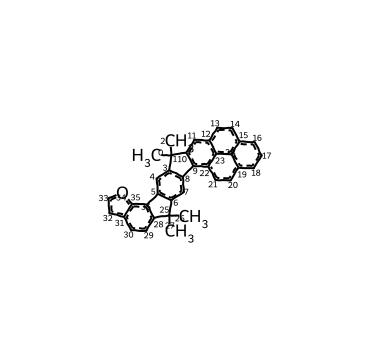 CC1(C)c2cc3c(cc2-c2c1cc1ccc4cccc5ccc2c1c45)C(C)(C)c1ccc2ccoc2c1-3